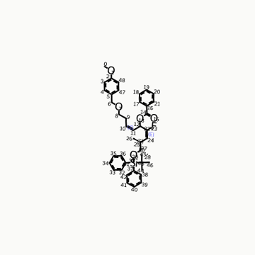 COc1ccc(COCC/C=C\C(OC(=O)c2ccccc2)/C(F)=C\[C@H](C)[C@H](C)O[Si](c2ccccc2)(c2ccccc2)C(C)(C)C)cc1